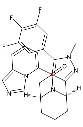 Cn1nc2c(c1-c1cc(F)c(F)c(F)c1)C[C@@H]1CCC[C@H]2N1C(=O)c1cccc2cncn12